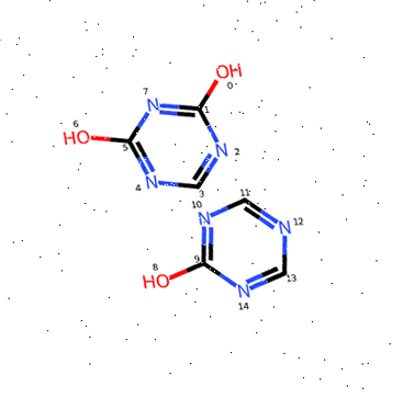 Oc1ncnc(O)n1.Oc1ncncn1